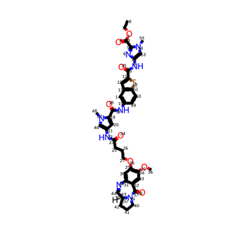 CCOC(=O)c1nc(NC(=O)c2cc3cc(NC(=O)c4cc(NC(=O)CCCOc5cc6c(cc5OC)C(=O)N5CCC[C@H]5C=N6)cn4C)ccc3s2)cn1C